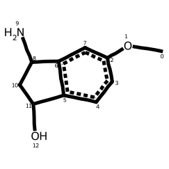 COc1ccc2c(c1)C(N)CC2O